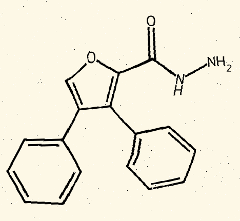 NNC(=O)c1occ(-c2ccccc2)c1-c1ccccc1